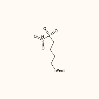 CCCCCCCCCS(=O)(=O)[SH](=O)=O